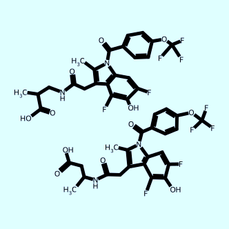 Cc1c(CC(=O)NC(C)CC(=O)O)c2c(F)c(O)c(F)cc2n1C(=O)c1ccc(OC(F)(F)F)cc1.Cc1c(CC(=O)NCC(C)C(=O)O)c2c(F)c(O)c(F)cc2n1C(=O)c1ccc(OC(F)(F)F)cc1